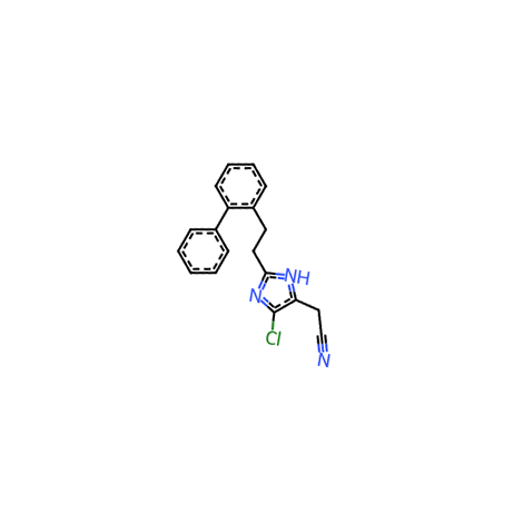 N#CCc1[nH]c(CCc2ccccc2-c2ccccc2)nc1Cl